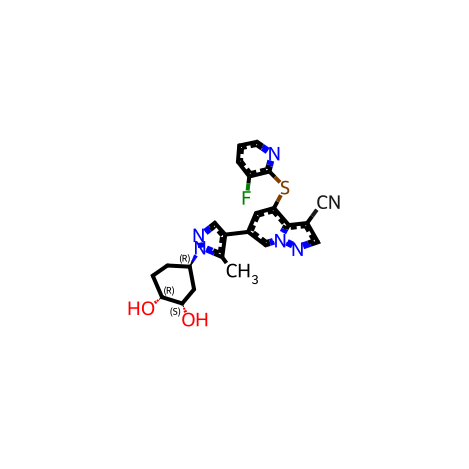 Cc1c(-c2cc(Sc3ncccc3F)c3c(C#N)cnn3c2)cnn1[C@@H]1CC[C@@H](O)[C@@H](O)C1